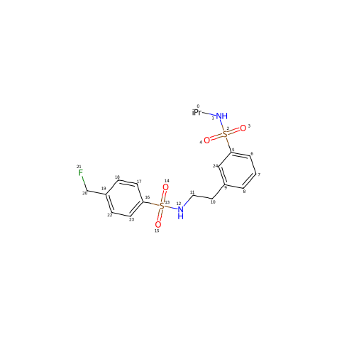 CC(C)NS(=O)(=O)c1cccc(CCNS(=O)(=O)c2ccc(CF)cc2)c1